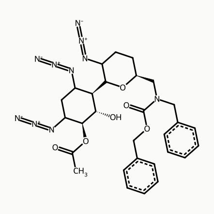 CC(=O)O[C@H]1C(N=[N+]=[N-])CC(N=[N+]=[N-])[C@@H](C2O[C@H](CN(Cc3ccccc3)C(=O)OCc3ccccc3)CCC2N=[N+]=[N-])[C@@H]1O